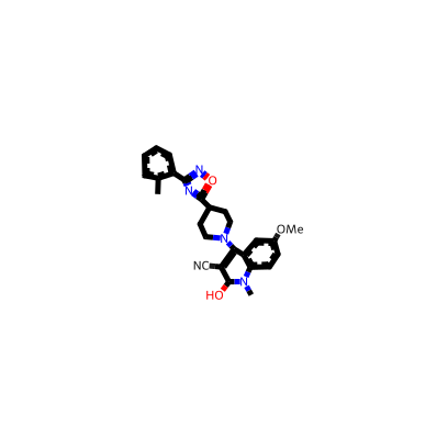 COc1ccc2c(c1)C(N1CCC(c3nc(-c4ccccc4C)no3)CC1)=C(C#N)C(O)N2C